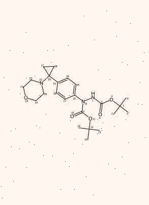 CC(C)(C)OC(=O)NN(C(=O)OC(C)(C)C)c1ccc(C2(N3CCOCC3)CC2)cc1